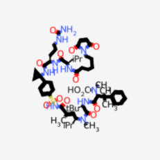 C/C(=C\[C@H](C(C)C)N(C)C(=O)[C@@H](NC(=O)[C@@H](N(C)C(=O)O)C(C)(C)c1ccccc1)C(C)(C)C)C(=O)NS(=O)(=O)c1ccc(C2(NC(=O)[C@@H](CCCNC(N)=O)NC(=O)[C@H](NC(=O)CCCCCN3C(=O)C=CC3=O)C(C)C)CC2)cc1